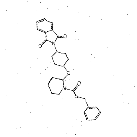 O=C(OCc1ccccc1)N1CCCCC1OC1CCC(N2C(=O)c3ccccc3C2=O)CC1